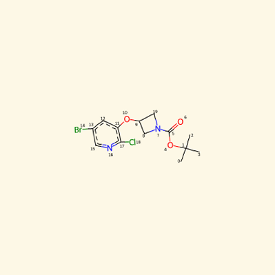 CC(C)(C)OC(=O)N1CC(Oc2cc(Br)cnc2Cl)C1